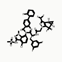 Cn1nc(NS(C)(=O)=O)c2c(Cl)ccc(-n3c([C@H](Cc4cc(F)cc(F)c4)NC(=O)Cn4nc(C(F)F)c5c4C(F)(F)[C@@H]4C[C@H]54)nc4cc(-c5ccccc5F)ccc4c3=O)c21